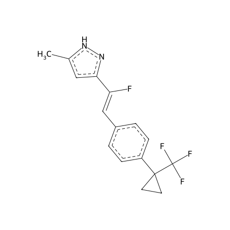 Cc1cc(C(F)=Cc2ccc(C3(C(F)(F)F)CC3)cc2)n[nH]1